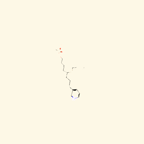 CCOC(=O)CSC(CCCCOS(C)(=O)=O)CCCc1cccnc1